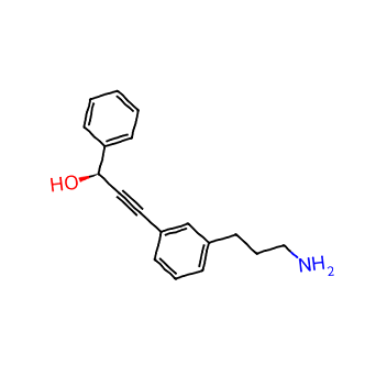 NCCCc1cccc(C#C[C@@H](O)c2ccccc2)c1